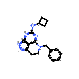 c1ccc(CN2CCc3n[nH]c4nc(NC5CCC5)nc2c34)cc1